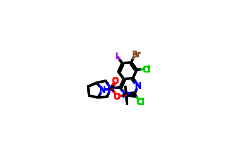 CC(C)(C)OC(=O)N1C2CCC1CN(c1nc(Cl)nc3c(Cl)c(Br)c(I)cc13)C2